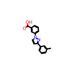 Cc1cccc(-c2ccn(-c3cccc(C(=O)O)c3)n2)c1